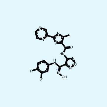 Cc1nc(-c2cnccn2)sc1C(=O)Nc1nonc1/C(=N\O)Nc1ccc(F)c(Br)c1